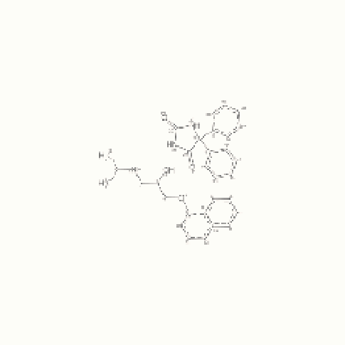 CC(C)NCC(O)COc1cccc2ccccc12.O=C1NC(=O)C(c2ccccc2)(c2ccccc2)N1